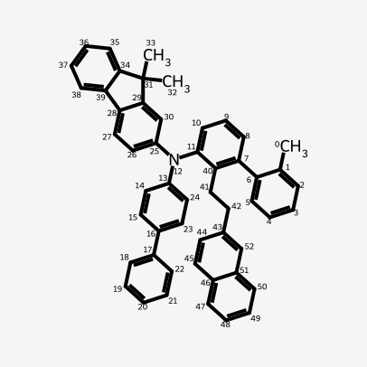 Cc1ccccc1-c1cccc(N(c2ccc(-c3ccccc3)cc2)c2ccc3c(c2)C(C)(C)c2ccccc2-3)c1CCc1ccc2ccccc2c1